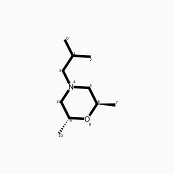 CC(C)CN1C[C@@H](C)O[C@H](C)C1